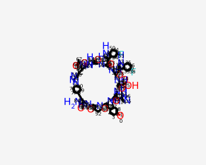 COc1ccc(C[C@@H]2NC(=O)[C@H](Cc3cnc[nH]3)NC(=O)[C@H](CC(=O)O)NC(=O)[C@H](Cc3c[nH]c4ccc(F)cc34)NC(=O)[C@H](Cc3c[nH]c4ccc(F)cc34)NC(=O)[C@@H](C)NC(=O)[C@H](NC(C)=O)Cc3cn(nn3)-c3ccc(cc3)C[C@@H](C(N)=O)NC(=O)[C@]3(C)CCCN3C2=O)cc1